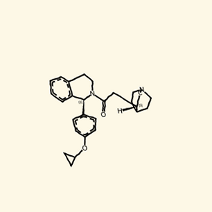 O=C(C[C@@H]1CN2CCC1CC2)N1CCc2ccccc2[C@@H]1c1ccc(OC2CC2)cc1